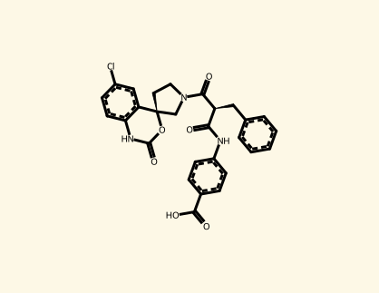 O=C1Nc2ccc(Cl)cc2[C@@]2(CCN(C(=O)[C@@H](Cc3ccccc3)C(=O)Nc3ccc(C(=O)O)cc3)C2)O1